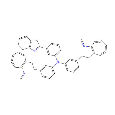 C=NC1=C(CCc2cccc(N(c3cccc(CCC4=C(N=C)C=CC=C=C4)c3)c3cccc(C4=NC5=C(C=CCC5)C4)c3)c2)C=CC=C=C1